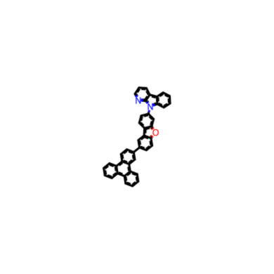 c1ccc2c(c1)c1ccccc1c1cc(-c3ccc4oc5cc(-n6c7ccccc7c7cccnc76)ccc5c4c3)ccc21